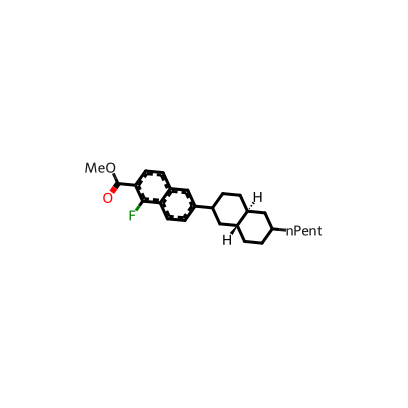 CCCCCC1CC[C@@H]2CC(c3ccc4c(F)c(C(=O)OC)ccc4c3)CC[C@H]2C1